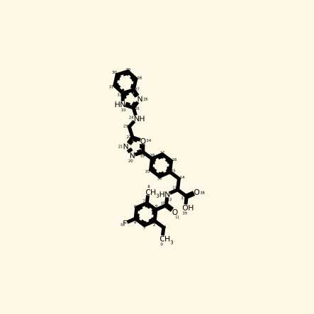 CCc1cc(F)cc(C)c1C(=O)NC(Cc1ccc(-c2nnc(CNc3nc4ccccc4[nH]3)o2)cc1)C(=O)O